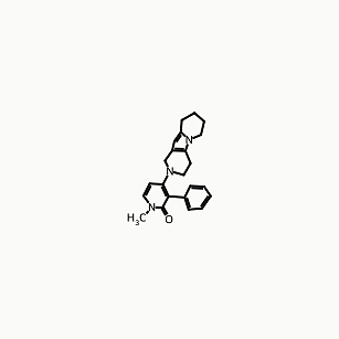 Cn1ccc(N2CCc3c(cc4n3CCCC4)C2)c(-c2ccccc2)c1=O